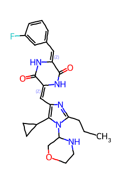 CCCc1nc(/C=c2\[nH]c(=O)/c(=C/c3cccc(F)c3)[nH]c2=O)c(C2CC2)n1C1COCCN1